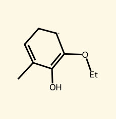 CCOC1=C(O)C(C)=CC[CH]1